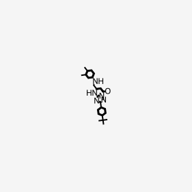 Cc1ccc(NCc2cc(=O)n3nc(-c4ccc(C(C)(C)C)cc4)nc3[nH]2)cc1C